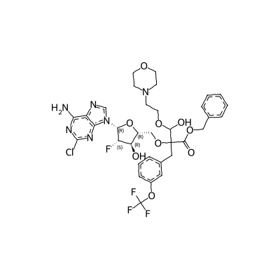 Nc1nc(Cl)nc2c1ncn2[C@@H]1O[C@H](COC(Cc2cccc(OC(F)(F)F)c2)(C(=O)OCc2ccccc2)C(O)OCCN2CCOCC2)[C@@H](O)[C@@H]1F